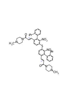 CC(C)c1ccccc1-c1c(/C=C/C(=O)N2CCN(C)CC2)ccc(Sc2ccc(/C=C/C(=O)N3CCN(C)CC3)c(-c3ccccc3C(C)C)c2[N+](=O)[O-])c1[N+](=O)[O-]